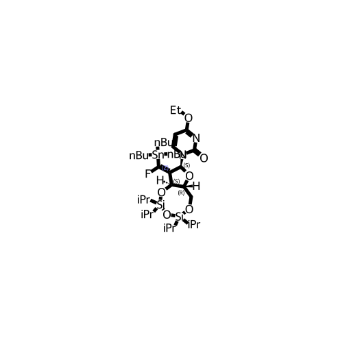 CCC[CH2][Sn]([CH2]CCC)([CH2]CCC)/[C](F)=C1/[C@@H]2O[Si](C(C)C)(C(C)C)O[Si](C(C)C)(C(C)C)OC[C@H]2O[C@@H]1n1ccc(OCC)nc1=O